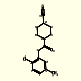 Cc1ccc(Cl)c(CC(=O)N2CCC(C#N)CC2)c1